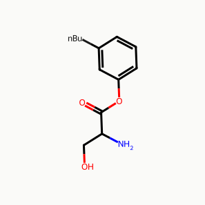 CCCCc1cccc(OC(=O)C(N)CO)c1